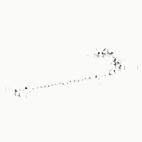 NC(N)=Nc1cccc(C(=O)NCC(=O)N[C@@H](CC(=O)O)C(=O)Nc2ccc(OCCCNC(=O)CCOCCOCCOCCOCCOCCOCCOCCOCCNC(=O)CCN3C(=O)C=CC3O)cc2)c1